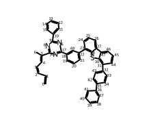 C=C/C=C\C=C(/C)c1nc(-c2ccccc2)nc(-c2cccc(-c3cccc4c3sc3c(-c5ccc(-c6ccccc6)cc5)cccc34)c2)n1